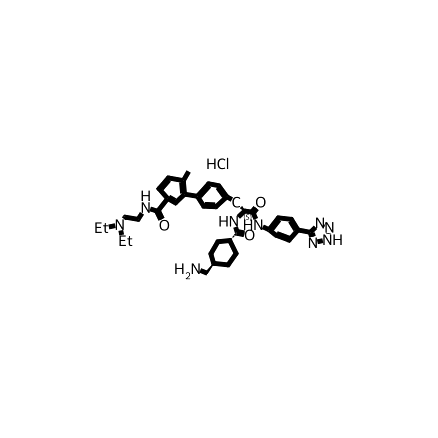 CCN(CC)CCNC(=O)c1ccc(C)c(-c2ccc(C[C@H](NC(=O)[C@H]3CC[C@H](CN)CC3)C(=O)Nc3ccc(-c4nn[nH]n4)cc3)cc2)c1.Cl